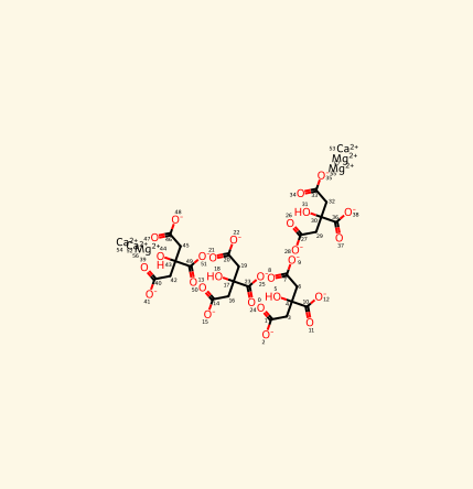 O=C([O-])CC(O)(CC(=O)[O-])C(=O)[O-].O=C([O-])CC(O)(CC(=O)[O-])C(=O)[O-].O=C([O-])CC(O)(CC(=O)[O-])C(=O)[O-].O=C([O-])CC(O)(CC(=O)[O-])C(=O)[O-].[Ca+2].[Ca+2].[Ca+2].[Mg+2].[Mg+2].[Mg+2]